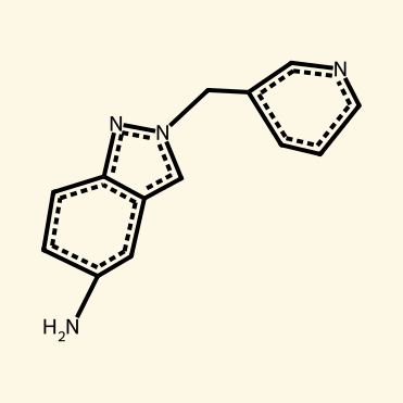 Nc1ccc2nn(Cc3cccnc3)cc2c1